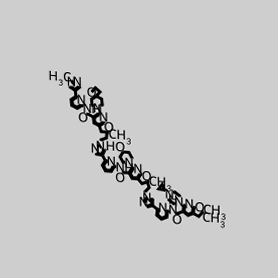 Cn1cc(-c2cccc(NC(=O)c3cc4c(nc3N3CCC5(CCO5)CC3)OC(C)(CCn3cc(-c5cccc(NC(=O)c6cc7c(nc6N6CCC(O)CC6)OC(C)(CCn6cc(-c8cccc(NC(=O)c9cc%10c(nc9N9CCN(C%11CC%11)CC9)OC(C)(C)C%10)n8)cn6)C7)n5)cn3)C4)n2)cn1